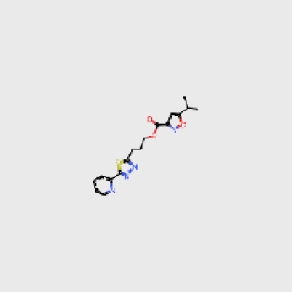 CC(C)c1cc(C(=O)OCCCc2nnc(-c3ccccn3)s2)no1